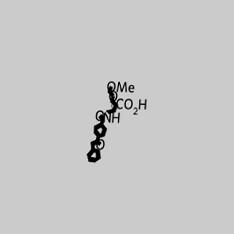 COCOC[C@H](CCNC(=O)c1ccc(-c2cc3ccccc3o2)cc1)C(=O)O